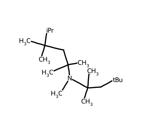 CC(C)C(C)(C)CC(C)(C)N(C)C(C)(C)CC(C)(C)C